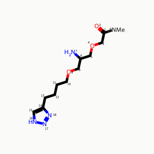 CNC(=O)COCC(N)COCCCCc1c[nH]nn1